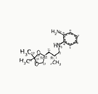 C[C@@H](CNc1ccccc1N)C[C@H]1COC(C)(C)O1